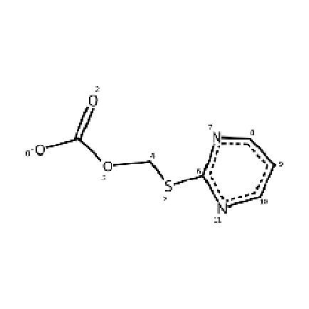 [O]C(=O)OCSc1ncccn1